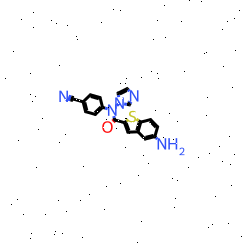 N#Cc1ccc(N(C(=O)c2cc3cc(N)ccc3s2)n2ccnc2)cc1